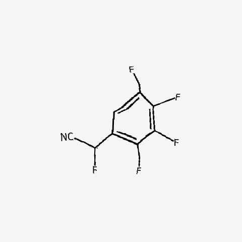 N#C[C](F)c1cc(F)c(F)c(F)c1F